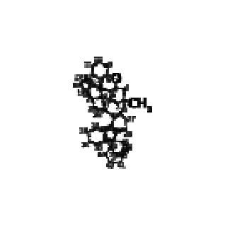 CC1C=CC2=C(C1)Oc1ccccc1C21c2ccccc2-c2ccc(-c3cccc4c3-c3ccccc3C43C4CC5CC(C4)CC3C5)cc21